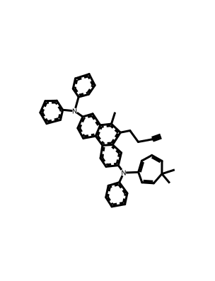 C#CCCc1c(C)c2cc(N(c3ccccc3)c3ccccc3)ccc2c2ccc(N(C3=CC=CC(C)(C)C=C3)c3ccccc3)cc12